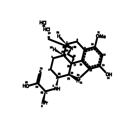 CCC[C@H](N[C@@H]1CC[C@H]2[C@H]3Cc4c(OC)cc(O)c5c4[C@@]2(CCN3C)[C@H]1O5)C(O)=S.Cl.Cl